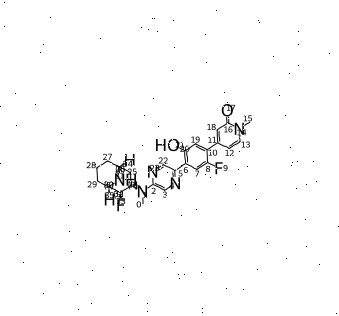 CN(c1cnc(-c2cc(F)c(-c3ccn(C)c(=O)c3)cc2O)cn1)[C@@H]1C[C@H]2CCC[C@H](N2)[C@@H]1F